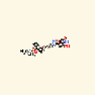 CN(C)CCOC(=O)C(c1ccccc1)c1cccc(OCCCCCNC[C@H](O)c2ccc(O)c3[nH]c(=O)ccc23)c1